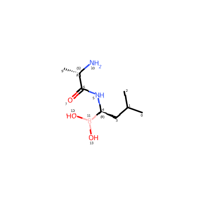 CC(C)C[C@H](NC(=O)[C@H](C)N)B(O)O